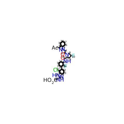 CC(=O)c1nn(CC(=O)N2C[C@H](F)C[C@H]2C(=O)Nc2cccc(-c3ccc4nc(NC(=O)O)[nH]c4c3Cl)c2F)c2ccccc12